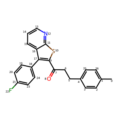 Cc1ccc(CCC(=O)c2sc3ncccc3c2-c2ccc(F)cc2)cc1